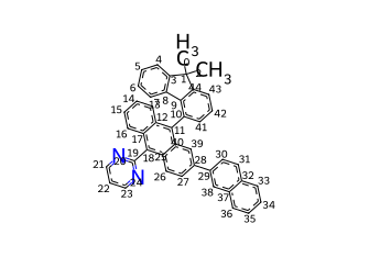 CC1(C)c2ccccc2-c2c(-c3c4ccccc4c(-c4ncccn4)c4ccc(-c5ccc6ccccc6c5)cc34)cccc21